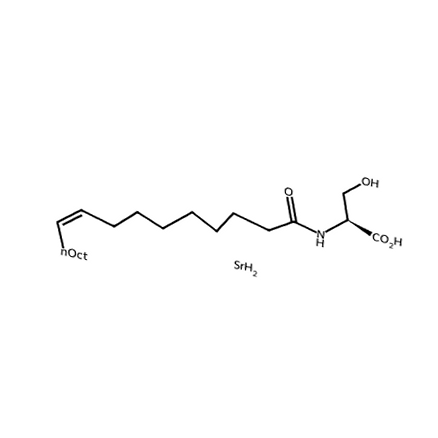 CCCCCCCC/C=C\CCCCCCCC(=O)N[C@@H](CO)C(=O)O.[SrH2]